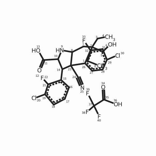 CCC(CC)(CO)CC1NC(C(=O)O)C(c2cccc(Cl)c2F)C1(C#N)c1ccc(Cl)cc1F.O=C(O)C(F)(F)F